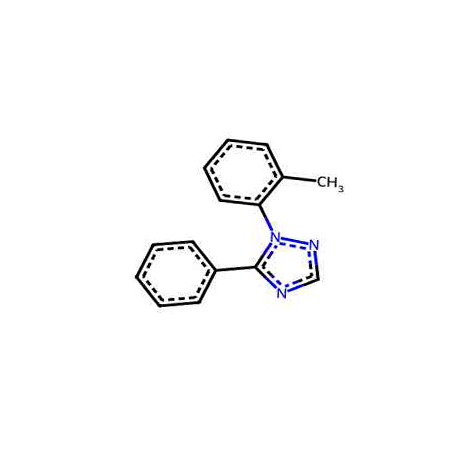 Cc1ccccc1-n1ncnc1-c1ccccc1